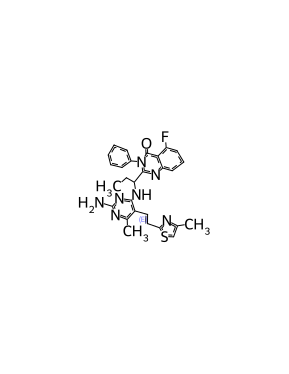 CCC(Nc1nc(N)nc(C)c1/C=C/c1nc(C)cs1)c1nc2cccc(F)c2c(=O)n1-c1ccccc1